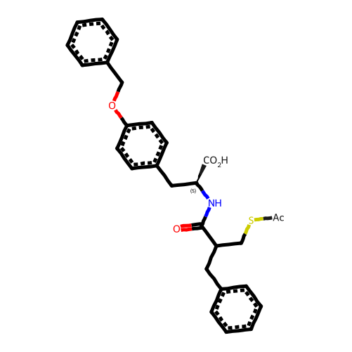 CC(=O)SCC(Cc1ccccc1)C(=O)N[C@@H](Cc1ccc(OCc2ccccc2)cc1)C(=O)O